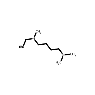 CN(C)CCCCN(C)CC(C)(C)C